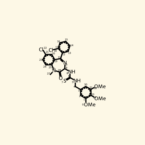 COc1cc(CNC(=S)NC2N=C(c3ccccc3Cl)c3cc(Cl)ccc3N(C)C2=O)cc(OC)c1OC